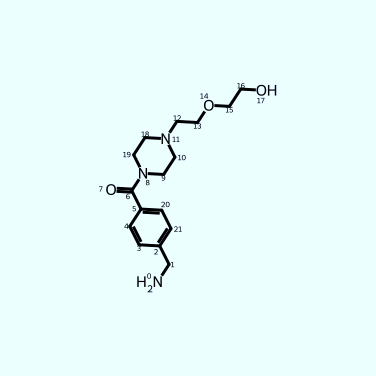 NCc1ccc(C(=O)N2CCN(CCOCCO)CC2)cc1